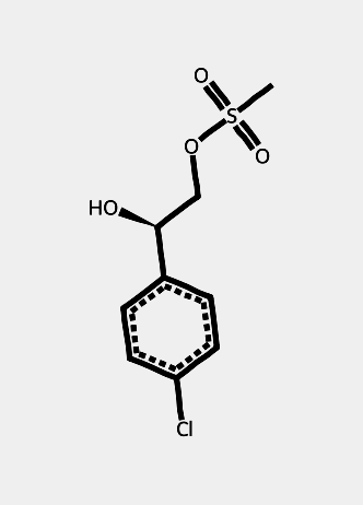 CS(=O)(=O)OC[C@H](O)c1ccc(Cl)cc1